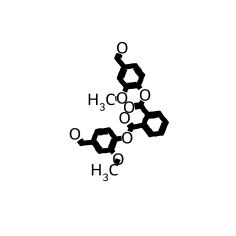 COc1cc(C=O)ccc1OC(=O)c1ccccc1C(=O)Oc1ccc(C=O)cc1OC